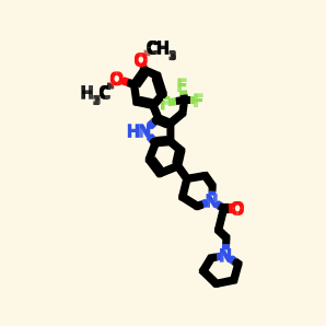 COc1ccc(-c2[nH]c3ccc(C4CCN(C(=O)CCN5CCCCC5)CC4)cc3c2CC(F)(F)F)cc1OC